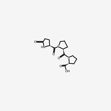 O=C1CC[C@@H](C(=O)N2CCC[C@H]2C(=O)N2CCC[C@H]2C(=O)O)N1